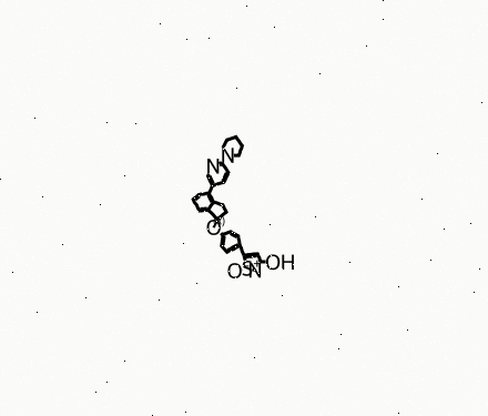 [O-][s+]1nc(O)cc1-c1ccc(O[C@@H]2CCc3c(-c4ccc(N5CCCCC5)nc4)cccc32)cc1